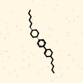 CCCCCC[C@H]1CC[C@H](c2ccc(C3=CCC(CCCCC)CC3)cc2)CC1